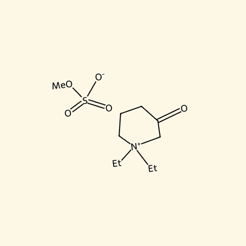 CC[N+]1(CC)CCCC(=O)C1.COS(=O)(=O)[O-]